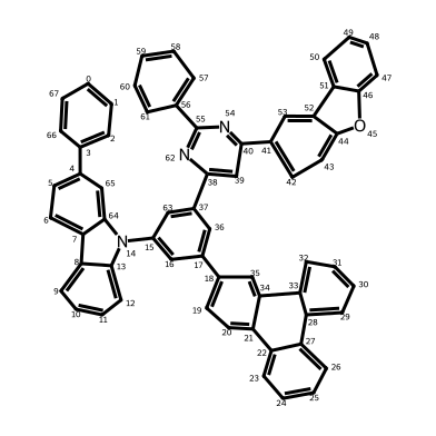 c1ccc(-c2ccc3c4ccccc4n(-c4cc(-c5ccc6c7ccccc7c7ccccc7c6c5)cc(-c5cc(-c6ccc7oc8ccccc8c7c6)nc(-c6ccccc6)n5)c4)c3c2)cc1